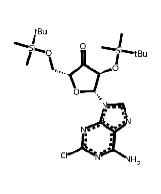 CC(C)(C)[Si](C)(C)OC[C@H]1O[C@@H](n2cnc3c(N)nc(Cl)nc32)[C@H](O[Si](C)(C)C(C)(C)C)C1=O